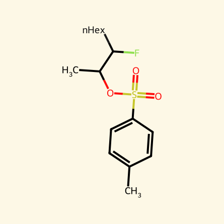 CCCCCCC(F)C(C)OS(=O)(=O)c1ccc(C)cc1